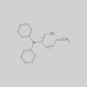 C=C/C=C\C(=C/CC)N(c1ccccc1)c1ccccc1